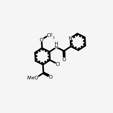 COC(=O)c1ccc(OC(F)(F)F)c(NC(=O)c2ccccn2)c1Cl